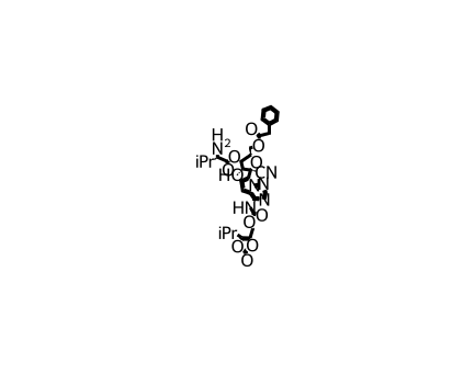 CC(C)c1oc(=O)oc1COC(=O)Nc1ncnn2c([C@]3(C#N)O[C@H](COC(=O)Cc4ccccc4)[C@@H](OC(=O)[C@@H](N)C(C)C)[C@H]3O)ccc12